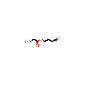 CC(C)CCCOC(=O)C[NH]